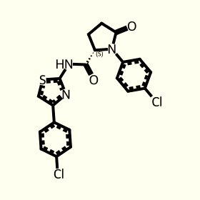 O=C(Nc1nc(-c2ccc(Cl)cc2)cs1)[C@@H]1CCC(=O)N1c1ccc(Cl)cc1